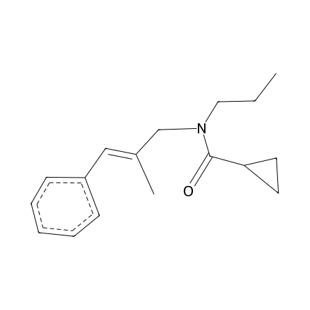 CCCN(C/C(C)=C/c1ccccc1)C(=O)C1CC1